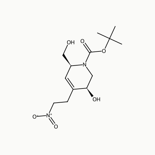 CC(C)(C)OC(=O)N1C[C@@H](O)C(CC[N+](=O)[O-])=C[C@H]1CO